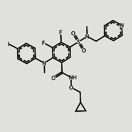 CN(c1ccc(I)cc1)c1c(C(=O)NOCC2CC2)cc(S(=O)(=O)N(C)Cc2ccncc2)c(F)c1F